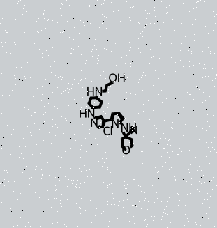 N#CC1(CNc2cccc(-c3cc(NC4CCC(NCCCO)CC4)ncc3Cl)n2)CCOCC1